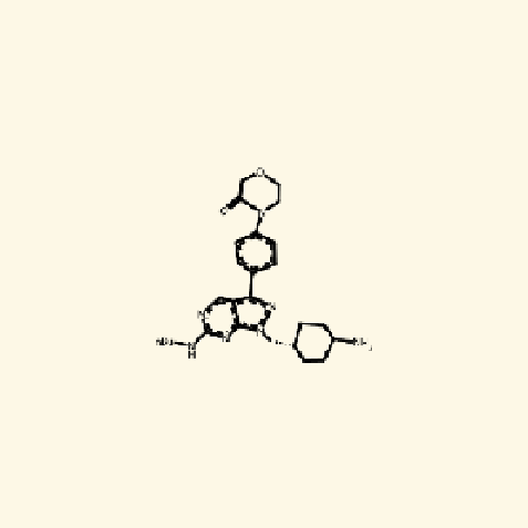 CCCCNc1ncc2c(-c3ccc(N4CCOCC4=O)cc3)nn(C[C@H]3CC[C@H](N)CC3)c2n1